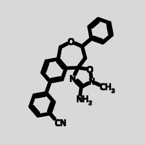 CN1OC2(CC(c3ccccc3)OCc3ccc(-c4cccc(C#N)c4)cc32)N=C1N